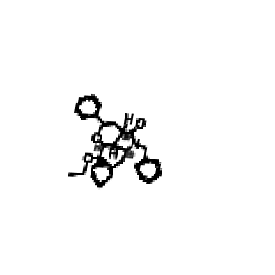 CCOC(=O)[C@H]1OC(c2ccccc2)=C[C@@H]2C(=O)N(Cc3ccccc3)[C@@H](Cc3ccccc3)[C@@H]21